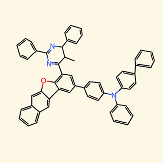 CC1C(c2cc(-c3ccc(N(c4ccccc4)c4ccc(-c5ccccc5)cc4)cc3)cc3c2oc2cc4ccccc4cc23)=NC(c2ccccc2)=NC1c1ccccc1